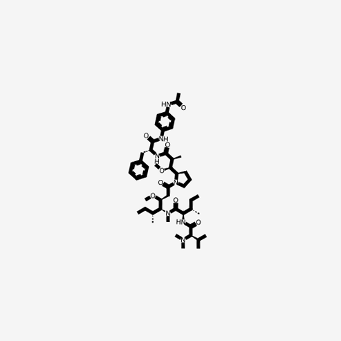 CC[C@@H](C)[C@H]([C@H](CC(=O)N1CCC[C@@H]1[C@@H](OC)[C@H](C)C(=O)N[C@H](Cc1ccccc1)C(=O)Nc1ccc(NC(C)=O)cc1)OC)N(C)C(=O)[C@H](NC(=O)[C@@H](C(C)C)N(C)C)[C@@H](C)CC